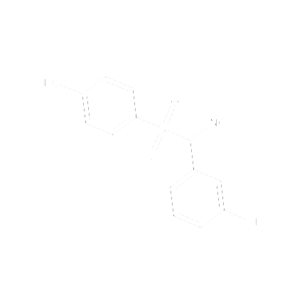 [C-]#[N+]C(c1cccc(C)c1)S(=O)(=O)c1ccc(C)cc1